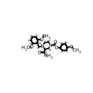 COc1ccc(OC(=O)N2CCN(Cc3c(OC)cccc3OC)C(C(N)=O)C2)cc1